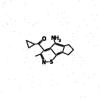 Cc1nsc2c3c(c(N)c-2c1C(=O)C1CC1)CCC3